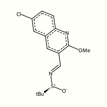 COc1nc2ccc(Cl)cc2cc1/C=N/[S@@+]([O-])C(C)(C)C